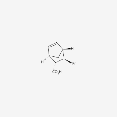 CC(C)[C@H]1[C@H](C(=O)O)[C@H]2C=C[C@H]1C2